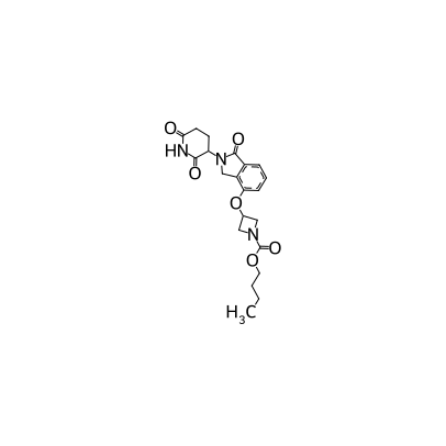 CCCCOC(=O)N1CC(Oc2cccc3c2CN(C2CCC(=O)NC2=O)C3=O)C1